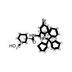 O=C(Nc1nn(C(c2ccccc2)(c2ccccc2)c2ccccc2)c2ccc(Br)cc12)[C@@H]1CCCN(C(=O)O)C1